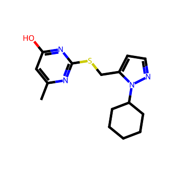 Cc1cc(O)nc(SCc2ccnn2C2CCCCC2)n1